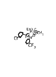 CCOC(=O)C[N+](C)(C)CCOCCN(c1cccc(C(F)(F)F)c1)c1nc(-c2cccc(Cl)c2)cs1